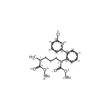 CN(CCCN(C(=O)OC(C)(C)C)c1ccccc1-c1cccc(Cl)n1)C(=O)OC(C)(C)C